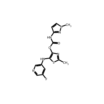 Cc1nc(OC(=O)Nc2ccn(C)n2)c(Nc2cncc(F)c2)s1